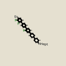 CCCCCCCC1CCC(C2CC=C(c3ccc(-c4ccc(-c5ccc(CC)c(F)c5F)cc4)c(F)c3)CC2)CC1